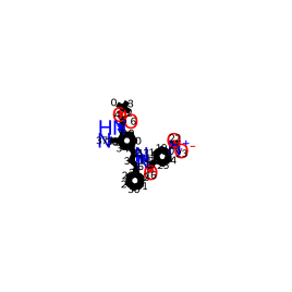 CC(C)(C)OC(=O)Nc1ccc(C2=NN(C(=O)c3ccc([N+](=O)[O-])cc3)C(c3ccccc3)C2)cc1C#N